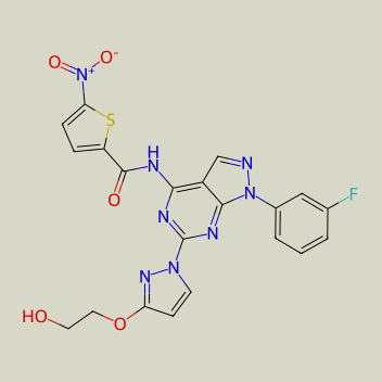 O=C(Nc1nc(-n2ccc(OCCO)n2)nc2c1cnn2-c1cccc(F)c1)c1ccc([N+](=O)[O-])s1